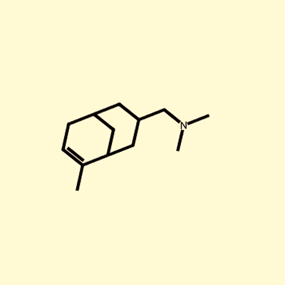 CC1=CCC2CC(CN(C)C)CC1C2